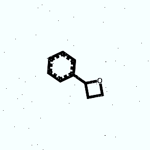 [c]1ccc(C2CCO2)cc1